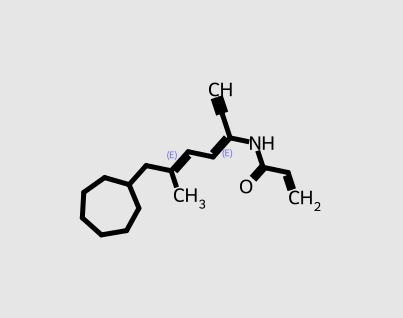 C#C/C(=C\C=C(/C)CC1CCCCCC1)NC(=O)C=C